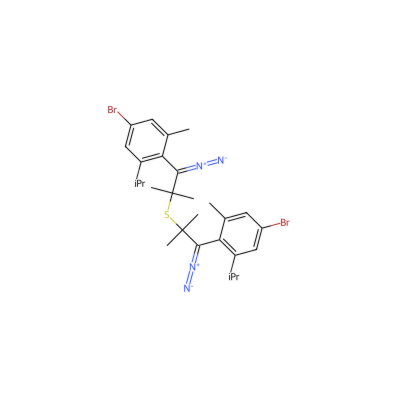 Cc1cc(Br)cc(C(C)C)c1C(=[N+]=[N-])C(C)(C)SC(C)(C)C(=[N+]=[N-])c1c(C)cc(Br)cc1C(C)C